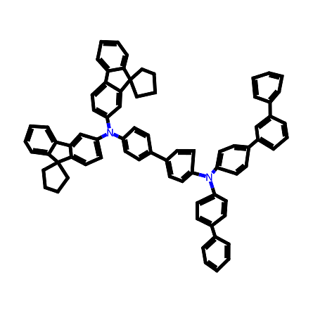 c1ccc(-c2ccc(N(c3ccc(-c4ccc(N(c5ccc6c(c5)-c5ccccc5C65CCCC5)c5ccc6c(c5)C5(CCCC5)c5ccccc5-6)cc4)cc3)c3ccc(-c4cccc(-c5ccccc5)c4)cc3)cc2)cc1